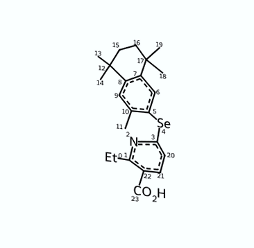 CCc1nc([Se]c2cc3c(cc2C)C(C)(C)CCC3(C)C)ccc1C(=O)O